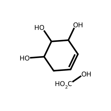 O=C(O)O.OC1C=CCC(O)C1O